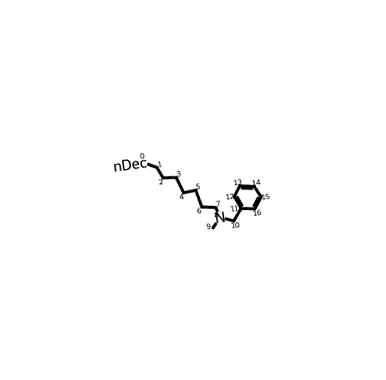 CCCCCCCCCCCCCCCCCN(C)Cc1ccccc1